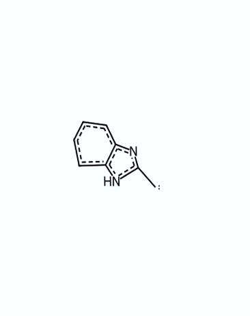 [CH]c1nc2ccccc2[nH]1